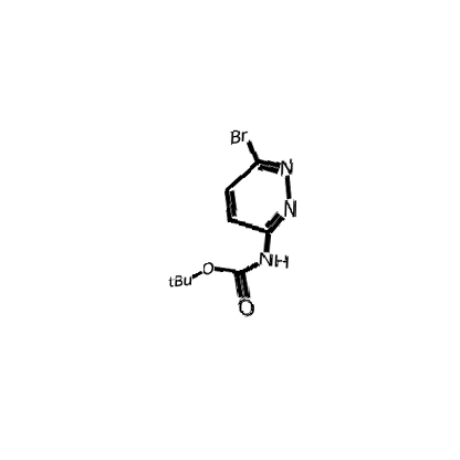 CC(C)(C)OC(=O)Nc1ccc(Br)nn1